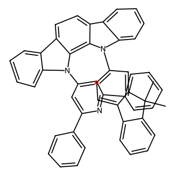 CC1(C)c2ccccc2-c2ccc(-n3c4ccccc4c4ccc5c6ccccc6n(-c6cc(-c7ccccc7)nc(-c7ccccc7)c6)c5c43)cc21